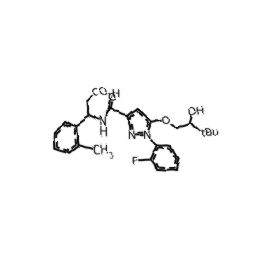 Cc1ccccc1C(CC(=O)O)NC(=O)c1cc(OCC(O)C(C)(C)C)n(-c2ccccc2F)n1